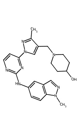 Cc1nn(-c2ccnc(Nc3ccc4c(cnn4C)c3)n2)cc1CN1CCC(O)CC1